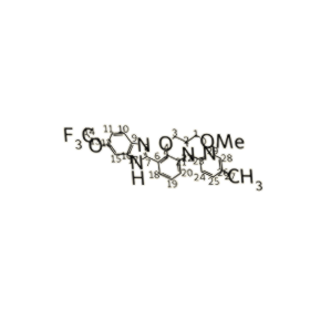 COCC1COc2c(-c3nc4ccc(OC(F)(F)F)cc4[nH]3)cccc2N1c1ccc(C)cn1